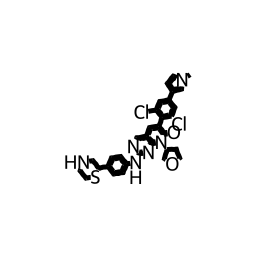 Cn1ccc(-c2cc(Cl)c(-c3cc4cnc(Nc5ccc(C6CNCCS6)cc5)nc4n(C4CCOC4)c3=O)c(Cl)c2)c1